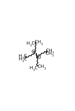 CC(C)CCCCCP(=O)(C=CP(=O)(CCCCCC(C)C)CCCCCC(C)C)CCCCCC(C)C